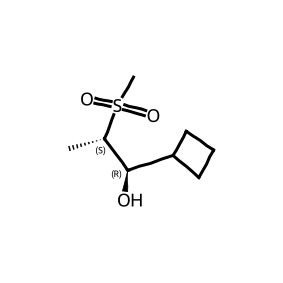 C[C@@H]([C@H](O)C1CCC1)S(C)(=O)=O